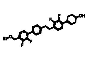 CCOCc1ccc(-c2ccc(CCc3ccc(C4=CCC(O)CC4)c(F)c3F)cc2)c(F)c1F